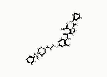 NC(=O)c1c(C(=O)Nc2ccc(OCCCN3CCN(S(=O)(=O)c4ccccc4)CC3)cc2Cl)ncn1-c1nc2ccccc2[nH]1